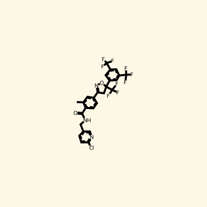 Cc1cc(C2=NOC(c3cc(C(F)(F)F)cc(C(F)(F)F)c3)(C(F)(F)F)C2)ccc1C(=O)NCc1ccc(Cl)nc1